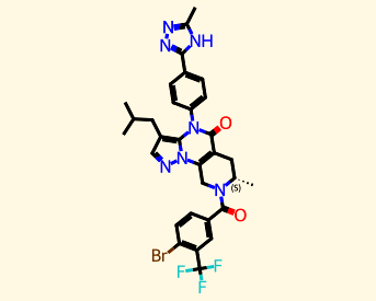 Cc1nnc(-c2ccc(-n3c(=O)c4c(n5ncc(CC(C)C)c35)CN(C(=O)c3ccc(Br)c(C(F)(F)F)c3)[C@@H](C)C4)cc2)[nH]1